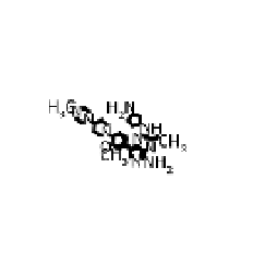 CCc1nc2c(N)ncc(-c3ccc(N4CCC(N5CCN(C)CC5)CC4)c(OC)c3)c2nc1NC1CCC(N)C1